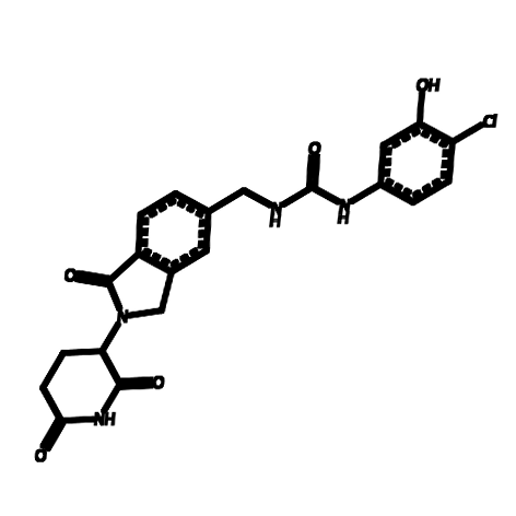 O=C1CCC(N2Cc3cc(CNC(=O)Nc4ccc(Cl)c(O)c4)ccc3C2=O)C(=O)N1